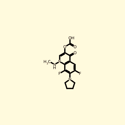 CNn1cc(OC(=O)O)c(=O)c2cc(F)c(N3CCCC3)c(F)c21